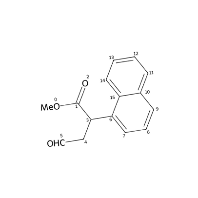 COC(=O)C(CC=O)c1cccc2ccccc12